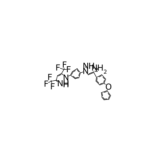 N=C(/C=C(\Nc1ccc(N(N)/C=C(\N)c2ccc(Oc3ccccc3)cc2)cc1)C(F)(F)F)C(F)(F)F